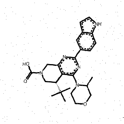 CC1COCCN1c1nc(-c2ccc3[nH]ccc3c2)nc2c1[C@H](C(C)(C)C)CN(C(=O)O)C2